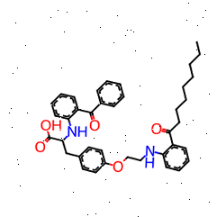 CCCCCCCCC(=O)c1ccccc1NCCOc1ccc(CC(Nc2ccccc2C(=O)c2ccccc2)C(=O)O)cc1